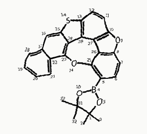 CC1(C)OB(c2ccc3oc4ccc5sc6cc7ccccc7c7oc2c3c4c5c67)OC1(C)C